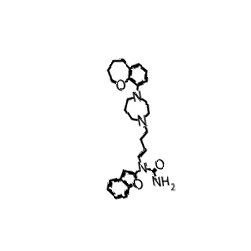 NC(=O)N(CCCCN1CCCN(c2cccc3c2OCCCC3)CC1)c1cc2ccccc2o1